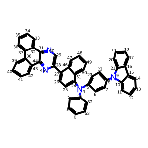 c1ccc(N(c2ccc(-n3c4ccccc4c4ccccc43)cc2)c2ccc(-c3cnc4c5ccccc5c5ccccc5c4n3)c3ccccc23)cc1